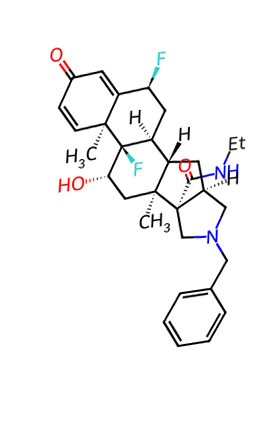 CCNC(=O)[C@@]12CN(Cc3ccccc3)C[C@@H]1C[C@H]1[C@@H]3C[C@H](F)C4=CC(=O)C=C[C@]4(C)[C@@]3(F)[C@@H](O)C[C@@]12C